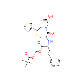 CC(C)(C)C(=O)OCOC(=O)C(CCc1ccccc1)NC1CSC(c2ccsc2)CN(CC(=O)O)C1=O